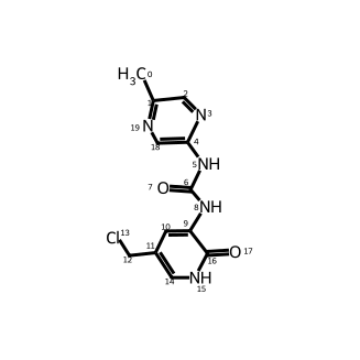 Cc1cnc(NC(=O)Nc2cc(CCl)c[nH]c2=O)cn1